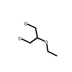 CCOC(CCl)CCl